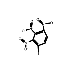 O=[N+]([O-])c1ccc(I)c([N+](=O)[O-])c1[N+](=O)[O-]